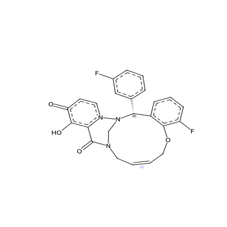 O=C1c2c(O)c(=O)ccn2N2CN1C/C=C\COc1c(F)cccc1[C@H]2c1cccc(F)c1